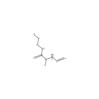 CCCOC(=O)C(C)NC=O